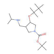 CC(C)NCC1CN(C(=O)OC(C)(C)C)CC1O[Si](C)(C)C(C)(C)C